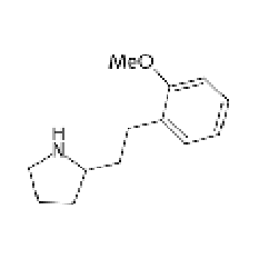 COc1ccccc1CCC1CCCN1